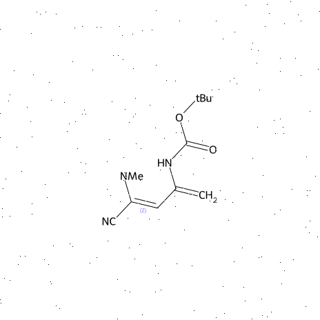 C=C(/C=C(/C#N)NC)NC(=O)OC(C)(C)C